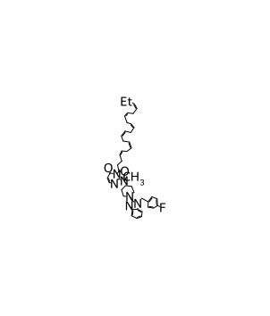 CC/C=C\C/C=C\C/C=C\C/C=C\C/C=C\C/C=C\CCC(=O)n1c(N(C)C2CCN(c3nc4ccccc4n3Cc3ccc(F)cc3)CC2)nccc1=O